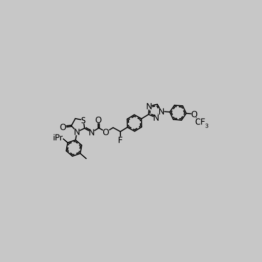 Cc1ccc(C(C)C)c(N2C(=O)CS/C2=N\C(=O)OCC(F)c2ccc(-c3ncn(-c4ccc(OC(F)(F)F)cc4)n3)cc2)c1